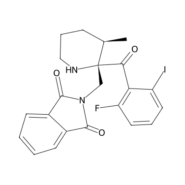 C[C@@H]1CCCN[C@@]1(CN1C(=O)c2ccccc2C1=O)C(=O)c1c(F)cccc1I